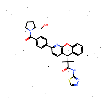 CC(C)(C(=O)Nc1nncs1)[C@H]1c2ccccc2Oc2nc(-c3ccc(C(=O)N4CCC[C@@H]4CO)cc3)ccc21